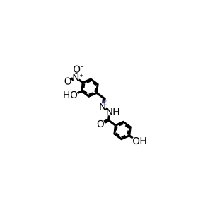 O=C(N/N=C/c1ccc([N+](=O)[O-])c(O)c1)c1ccc(O)cc1